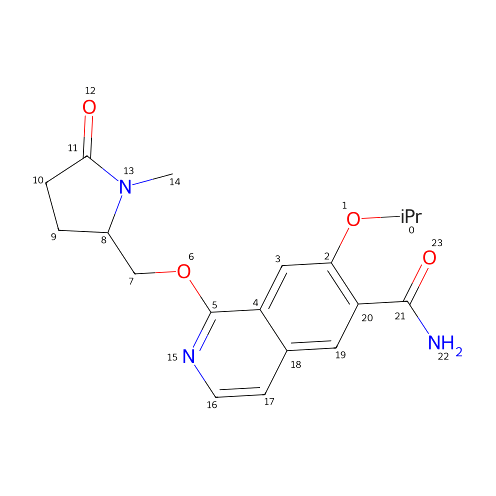 CC(C)Oc1cc2c(OCC3CCC(=O)N3C)nccc2cc1C(N)=O